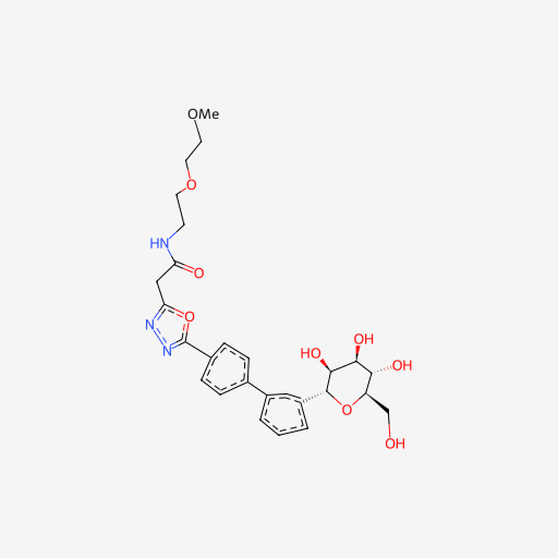 COCCOCCNC(=O)Cc1nnc(-c2ccc(-c3cccc([C@H]4O[C@H](CO)[C@@H](O)[C@H](O)[C@@H]4O)c3)cc2)o1